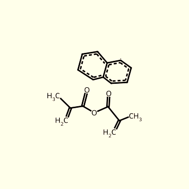 C=C(C)C(=O)OC(=O)C(=C)C.[c]1cccc2ccccc12